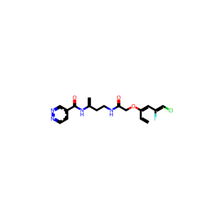 C=C/C(=C\C(F)=C\Cl)OCC(=O)NCCC(=C)NC(=O)c1ccnnc1